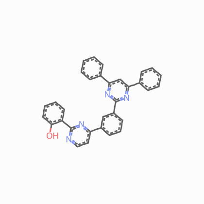 Oc1ccccc1-c1nccc(-c2cccc(-c3nc(-c4ccccc4)cc(-c4ccccc4)n3)c2)n1